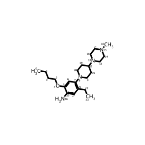 CCCCOc1cc(N2CCC(N3CCN(C)CC3)CC2)c(CC)cc1N